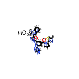 Cc1csc([C@H]2CCCN2C(=O)c2cc(-c3nnc([C@@](C)(Cc4ccccc4)NC(=O)O)o3)nc(-n3cncn3)c2)n1